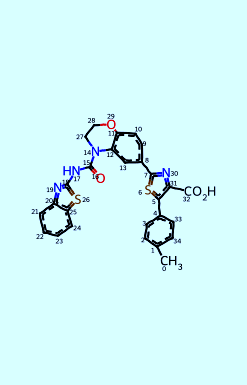 Cc1ccc(-c2sc(-c3ccc4c(c3)N(C(=O)Nc3nc5ccccc5s3)CCO4)nc2C(=O)O)cc1